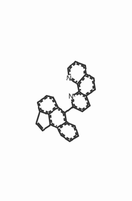 C1=Cc2c3ccccc3c(-c3ccc4ccc5cccnc5c4n3)c3cccc1c23